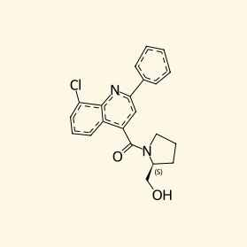 O=C(c1cc(-c2ccccc2)nc2c(Cl)cccc12)N1CCC[C@H]1CO